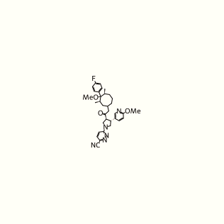 COc1ccc([C@@H]2CN(c3ccc(C#N)nn3)C[C@H]2C(=O)CC2CCC[C@H](C)[C@@](OC)(c3ccc(F)cc3)[C@H](C)C2)cn1